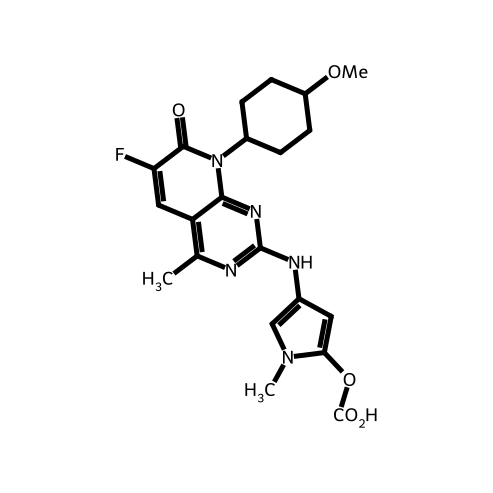 COC1CCC(n2c(=O)c(F)cc3c(C)nc(Nc4cc(OC(=O)O)n(C)c4)nc32)CC1